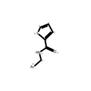 CC(=O)CNC(=O)c1cccs1